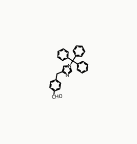 O=Cc1ccc(Cc2cn(C(c3ccccc3)(c3ccccc3)c3ccccc3)cn2)cc1